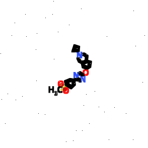 CS(=O)(=O)c1ccc(-c2cnc(Oc3ccc4c(c3)CCN(C3CCC3)CC4)cn2)cc1